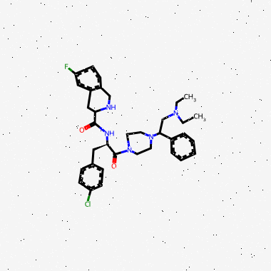 CCN(CC)CC(c1ccccc1)N1CCN(C(=O)[C@@H](Cc2ccc(Cl)cc2)NC(=O)C2Cc3cc(F)ccc3CN2)CC1